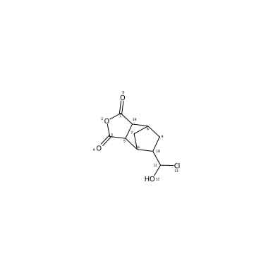 O=C1OC(=O)C2C3CC(CC3C(O)Cl)C12